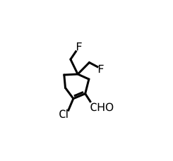 O=CC1=C(Cl)CCC(CF)(CF)C1